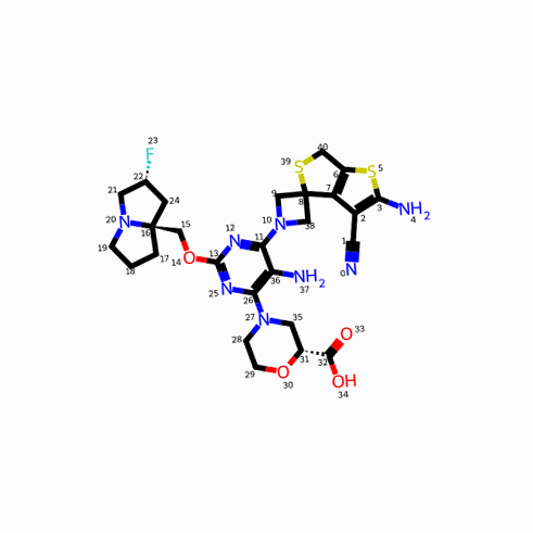 N#Cc1c(N)sc2c1C1(CN(c3nc(OC[C@@]45CCCN4C[C@H](F)C5)nc(N4CCO[C@@H](C(=O)O)C4)c3N)C1)SC2